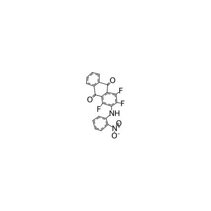 O=C1c2ccccc2C(=O)c2c(F)c(Nc3ccccc3[N+](=O)[O-])c(F)c(F)c21